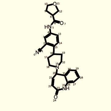 N#Cc1cc(NC(=O)C2CCOC2)ccc1C1CCN(C2C=CC(=O)Nc3ccccc32)CC1